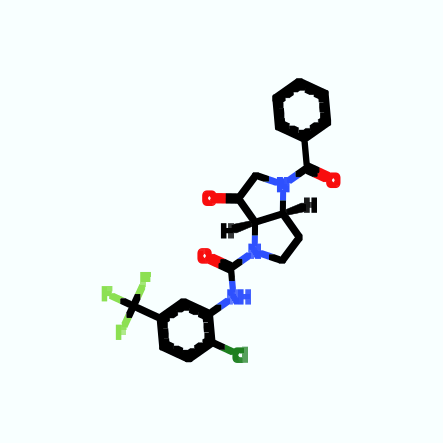 O=C1CN(C(=O)c2ccccc2)[C@@H]2CCN(C(=O)Nc3cc(C(F)(F)F)ccc3Cl)[C@H]12